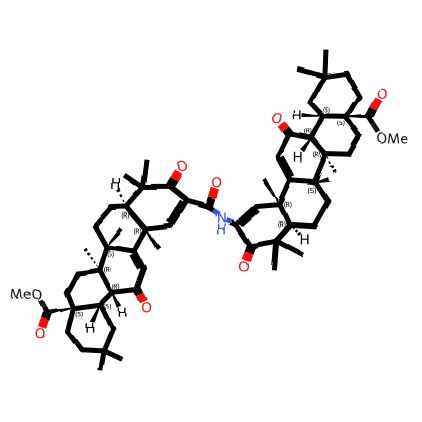 COC(=O)[C@]12CCC(C)(C)C[C@H]1[C@H]1C(=O)C=C3[C@@]4(C)C=C(NC(=O)C5=C[C@]6(C)C7=CC(=O)[C@@H]8[C@@H]9CC(C)(C)CC[C@]9(C(=O)OC)CC[C@@]8(C)[C@]7(C)CC[C@H]6C(C)(C)C5=O)C(=O)C(C)(C)[C@@H]4CC[C@@]3(C)[C@]1(C)CC2